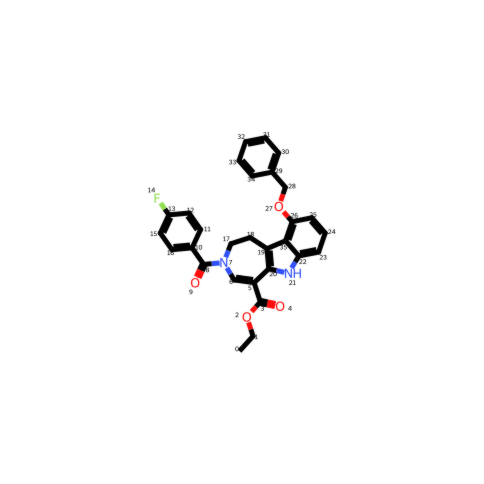 CCOC(=O)C1=CN(C(=O)c2ccc(F)cc2)CCc2c1[nH]c1cccc(OCc3ccccc3)c21